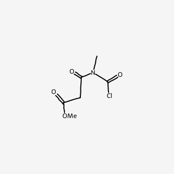 COC(=O)CC(=O)N(C)C(=O)Cl